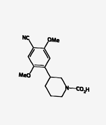 COc1cc(C2CCCN(C(=O)O)C2)c(OC)cc1C#N